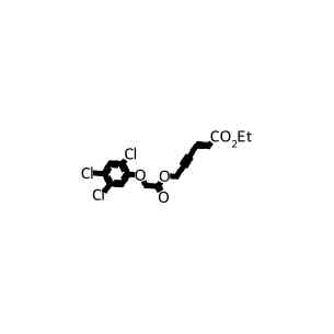 CCOC(=O)C=CC#CCOC(=O)COc1cc(Cl)c(Cl)cc1Cl